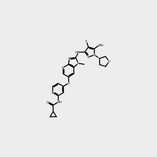 Cn1c(Nc2nn([C@@H]3CCOC3)c(C(C)(C)C)c2F)nc2ncc(Oc3ccnc(NC(=O)C4CC4)c3)cc21